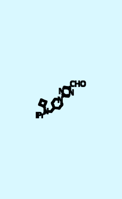 CC(C)N(CC1CCN(c2cnc(C=O)cn2)CC1)C1CCC1